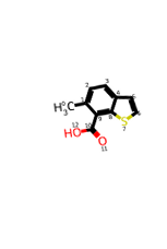 Cc1ccc2ccsc2c1C(=O)O